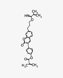 C=C(C)C(=N)OCCCc1ccc2cc(-c3ccc(OC(=O)C(=C)C)cc3)c(=O)oc2c1